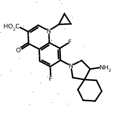 NC1CN(c2c(F)cc3c(=O)c(C(=O)O)cn(C4CC4)c3c2F)CC12CCCCC2